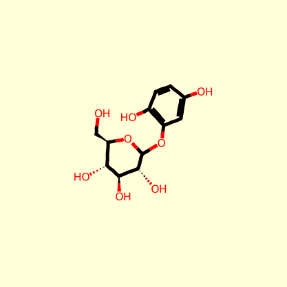 OC[C@H]1OC(Oc2cc(O)ccc2O)[C@H](O)[C@@H](O)[C@@H]1O